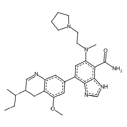 CCC(C)C1C=Nc2cc(-c3cc(N(C)CCN4CCCC4)c(C(N)=O)c4[nH]cnc34)cc(OC)c2C1